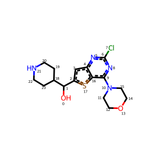 OC(c1cc2nc(Cl)nc(N3CCOCC3)c2s1)C1CCNCC1